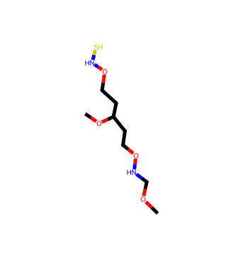 COCNOCCC(CCONS)OC